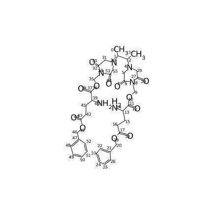 CC(C(C)N1CC(=O)N(COC(=O)C(N)CCC(=O)OCc2ccccc2)C(=O)C1)N1CC(=O)N(COC(=O)C(N)CCC(=O)OCc2ccccc2)C(=O)C1